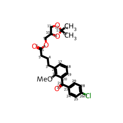 COc1c(CCCC(=O)OCC2COC(C)(C)O2)cccc1C(=O)c1ccc(Cl)cc1